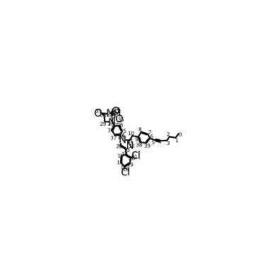 CCCCC#Cc1ccc(Cc2nc(-c3ccc(Cl)cc3Cl)cn2-c2ccc(N3CC(=O)NS3(=O)=O)cc2)cc1